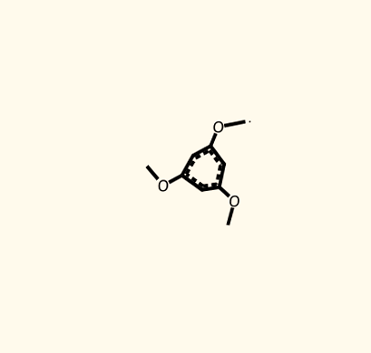 [CH2]Oc1cc(OC)cc(OC)c1